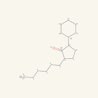 CCCCCCC1CCC(C2CCCCC2)C1=O